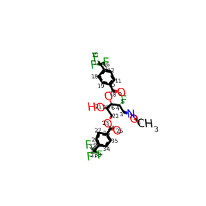 CON=C[C@@H](F)[C@H](OC(=O)c1ccc(C(F)(F)F)cc1)[C@H](O)COC(=O)c1ccc(C(F)(F)F)cc1